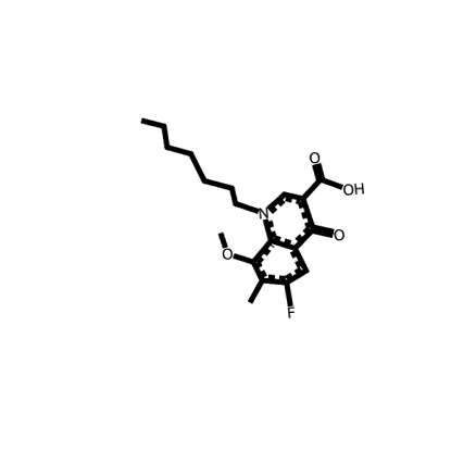 CCCCCCCn1cc(C(=O)O)c(=O)c2cc(F)c(C)c(OC)c21